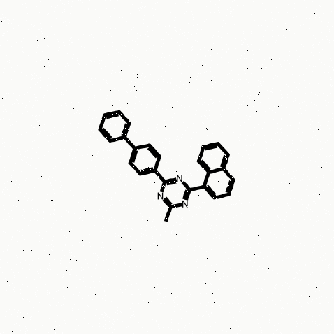 Cc1nc(-c2ccc(-c3ccccc3)cc2)nc(-c2cccc3ccccc23)n1